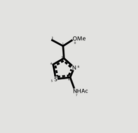 COC(C)c1csc(NC(C)=O)n1